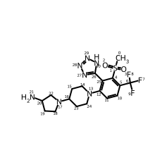 CS(=O)(=O)c1c(C(F)(F)F)ccc(N2CCC(N3CCC(N)C3)CC2)c1-c1nnn[nH]1